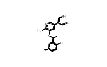 CC(Oc1cc(/C(C=N)=C/N)cnc1N)c1cc(F)ccc1Cl